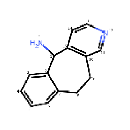 NC1c2ccccc2CCc2cnccc21